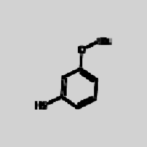 CC(C)(C)Oc1cccc(S)c1